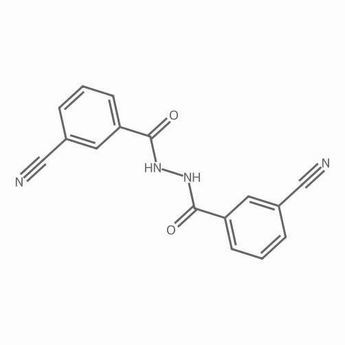 N#Cc1cccc(C(=O)NNC(=O)c2cccc(C#N)c2)c1